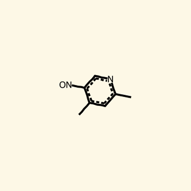 Cc1cc(C)c(N=O)cn1